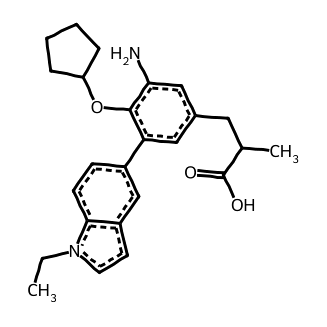 CCn1ccc2cc(-c3cc(CC(C)C(=O)O)cc(N)c3OC3CCCC3)ccc21